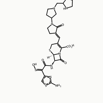 Nc1nc(/C(=N/O)C(=O)N[C@@H]2C(=O)N3C(C(=O)O)=C(/C=C4\CCN(C5CCN(CC6CCCN6)C5)C4=O)CS[C@H]23)cs1